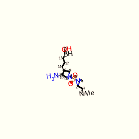 CNCCN(C)S(=O)(=O)N1C[C@H](CCCBO)[C@@H](N)C1